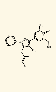 C/C=C(\N)Nc1c(C)c(-c2cc(CO)c(=O)n(C)c2)nn1-c1ccccc1